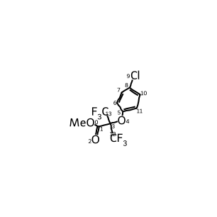 COC(=O)C(Oc1ccc(Cl)cc1)(C(F)(F)F)C(F)(F)F